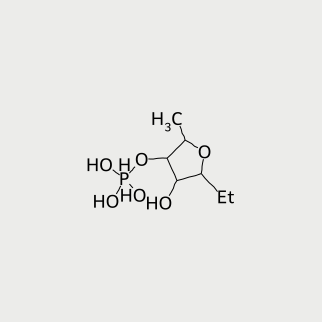 CCC1OC(C)C(O[PH](O)(O)O)C1O